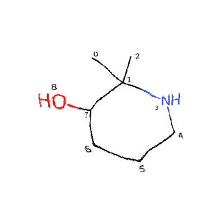 CC1(C)NCCCC1O